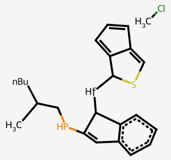 CCCCC(C)CPC1=Cc2ccccc2[CH]1[Hf][CH]1SC=C2C=CC=C21.CCl